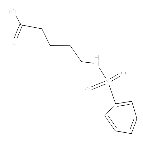 O=C(O)CCCCNS(=O)(=O)c1ccccc1